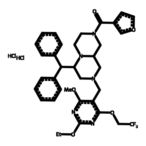 CCOc1nc(OC)c(CN2CC3CN(C(=O)c4ccoc4)CCN3C(C(c3ccccc3)c3ccccc3)C2)c(OCC(F)(F)F)n1.Cl.Cl